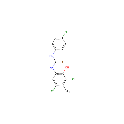 Cc1c(Cl)cc(NC(=S)Nc2ccc(Cl)cc2)c(O)c1Cl